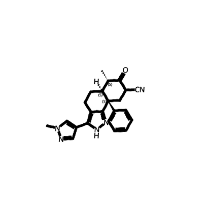 C[C@@H]1C(=O)C(C#N)C[C@]2(c3ccccc3)c3n[nH]c(-c4cnn(C)c4)c3CC[C@@H]12